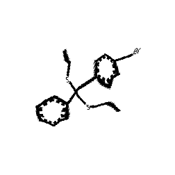 CCSC(SCC)(c1ccccc1)c1ccc(Br)cc1